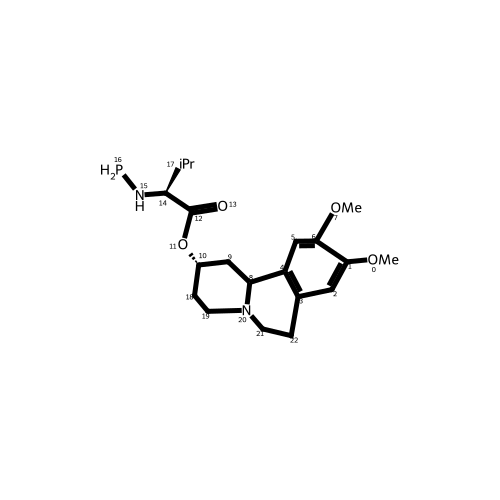 COc1cc2c(cc1OC)C1C[C@@H](OC(=O)[C@@H](NP)C(C)C)CCN1CC2